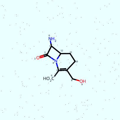 NC1C(=O)N2C(C(=O)O)=C(CO)CCC12